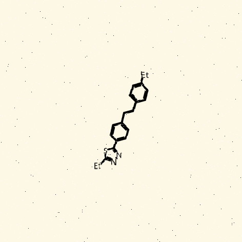 CCc1ccc(CCc2ccc(-c3nnc(CC)s3)cc2)cc1